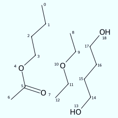 CCCCOC(C)=O.CCOCC.OCCCCO